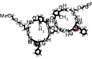 CCCOCCOCCN1CCNC(=O)c2cccc(c2C)C(=O)NCCN(CC(O)CN2CCNC(=O)c3cccc(c3C)C(=O)NCCN(CCOCCOCCOC)CCNC(=O)c3cccc(c3OCc3ccccc3)C(=O)NCC2)CCNC(=O)c2cccc(c2OCc2ccccc2)C(=O)NCC1